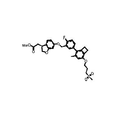 COC(=O)C[C@@H]1COc2cc(OCc3cc(-c4c(C)cc(OCCCS(C)(=O)=O)c5c4CC5)ccc3F)ccc21